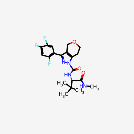 CNC(=O)[C@@H](NC(=O)n1nc(-c2cc(F)c(F)cc2F)c2c1CCOC2)C(C)(C)C